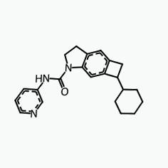 O=C(Nc1cccnc1)N1CCc2cc3c(cc21)C(C1CCCCC1)C3